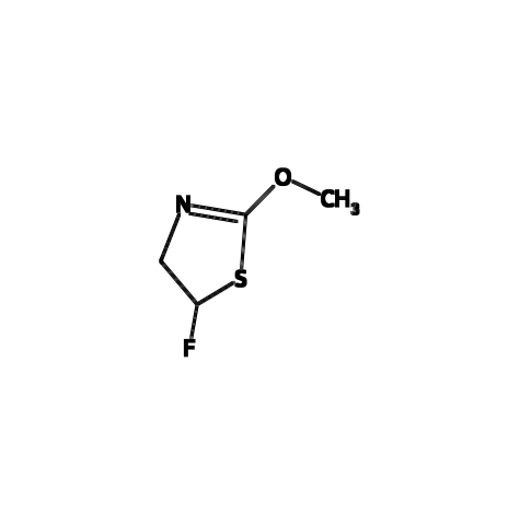 COC1=NCC(F)S1